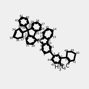 CC1=C(c2cc(-c3ccc4c(c3)c3ccccc3n4-c3cccc4c3-c3ccccc3C4(C3=CC=CCC3)c3ccccc3)ccc2C)CCCC1